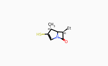 CC[C@H]1C(=O)N2C=C(S)[C@H](C)C12